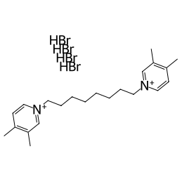 Br.Br.Br.Br.Cc1cc[n+](CCCCCCCC[n+]2ccc(C)c(C)c2)cc1C